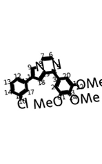 COc1cc(-c2nccn3cc(-c4cccc(Cl)c4)cc23)cc(OC)c1OC